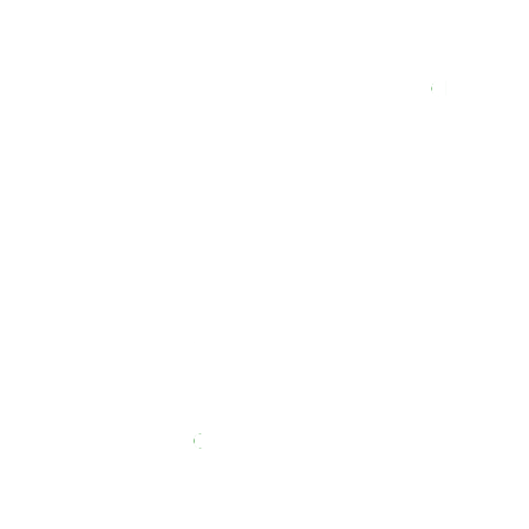 Clc1cccc(CCCc2cccc(Cl)c2)c1